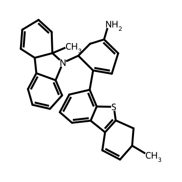 CC1C=Cc2c(sc3c(C4=CC=C(N)CC4N4c5ccccc5C5C=CC=CC54C)cccc23)C1